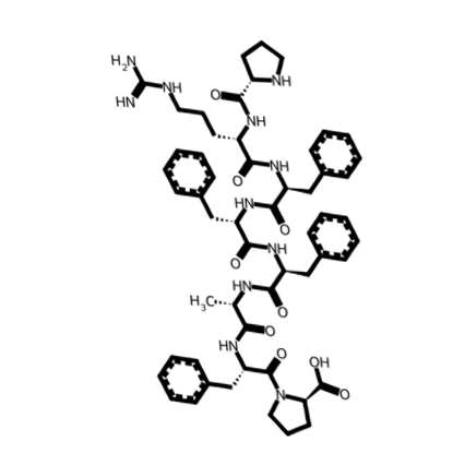 C[C@H](NC(=O)[C@H](Cc1ccccc1)NC(=O)[C@H](Cc1ccccc1)NC(=O)[C@H](Cc1ccccc1)NC(=O)[C@H](CCCNC(=N)N)NC(=O)[C@@H]1CCCN1)C(=O)N[C@@H](Cc1ccccc1)C(=O)N1CCC[C@@H]1C(=O)O